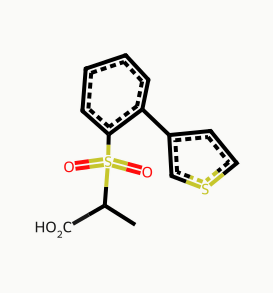 CC(C(=O)O)S(=O)(=O)c1ccccc1-c1ccsc1